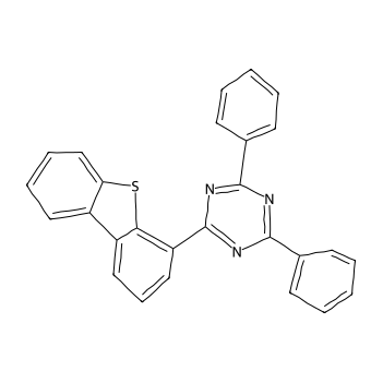 c1ccc(-c2nc(-c3ccccc3)nc(-c3cccc4c3sc3ccccc34)n2)cc1